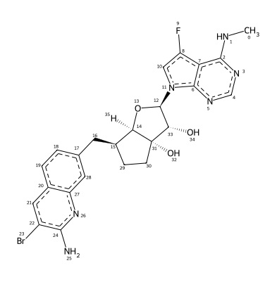 CNc1ncnc2c1c(F)cn2[C@@H]1O[C@@H]2[C@H](Cc3ccc4cc(Br)c(N)nc4c3)CC[C@]2(O)[C@H]1O